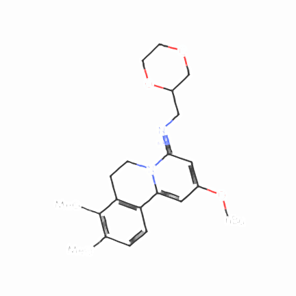 CCCCOc1cc2n(/c(=N/CC3COCCO3)c1)CCc1c-2ccc(OC)c1OC